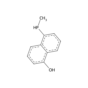 CPc1cccc2c(O)cccc12